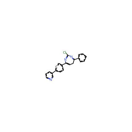 ClC1=NC(c2ccc(-c3cccnc3)cc2)=CCC(c2ccccc2)=N1